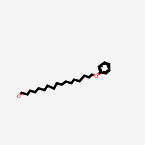 [O]CCCCCCCCCCCCCCCCCOc1ccccc1